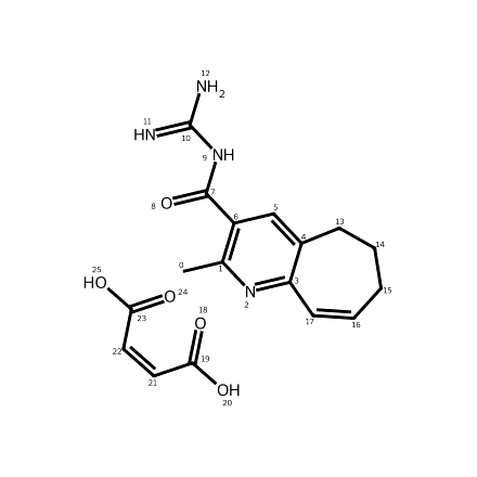 Cc1nc2c(cc1C(=O)NC(=N)N)CCCC=C2.O=C(O)/C=C\C(=O)O